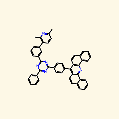 Cc1ccc(-c2cccc(-c3nc(-c4ccccc4)nc(-c4ccc(-c5c6ccc7ccccc7c6nc6c5ccc5ccccc56)cc4)n3)c2)c(C)n1